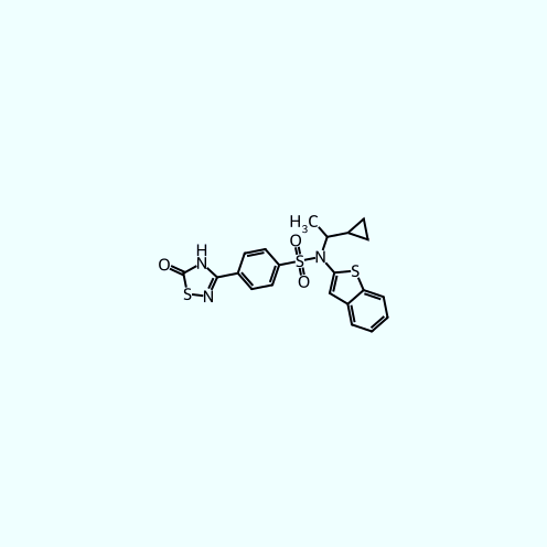 CC(C1CC1)N(c1cc2ccccc2s1)S(=O)(=O)c1ccc(-c2nsc(=O)[nH]2)cc1